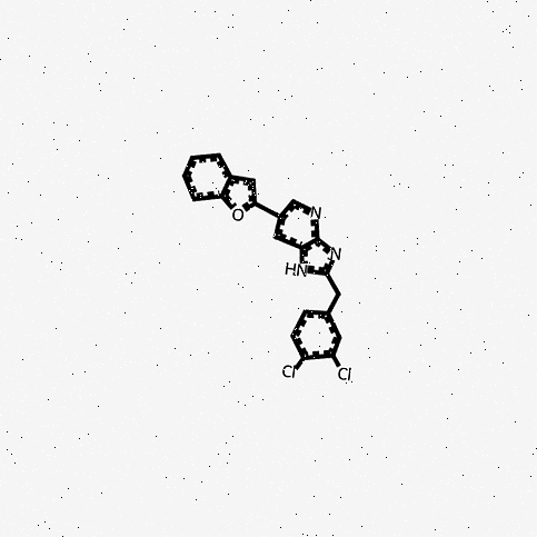 Clc1ccc(Cc2nc3ncc(-c4cc5ccccc5o4)cc3[nH]2)cc1Cl